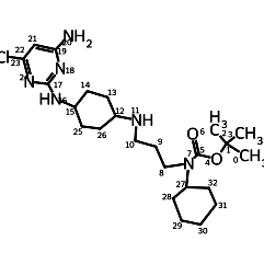 CC(C)(C)OC(=O)N(CCCNC1CCC(Nc2nc(N)cc(Cl)n2)CC1)C1CCCCC1